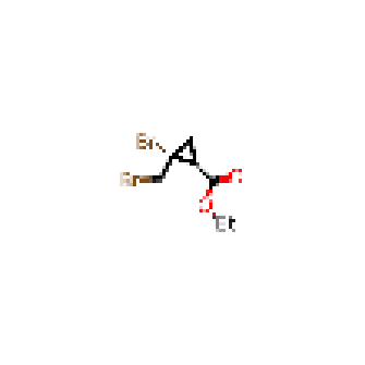 CCOC(=O)[C@@H]1C[C@]1(Br)CBr